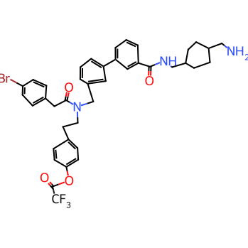 NCC1CCC(CNC(=O)c2cccc(-c3cccc(CN(CCc4ccc(OC(=O)C(F)(F)F)cc4)C(=O)Cc4ccc(Br)cc4)c3)c2)CC1